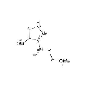 COCCN(C)c1n[nH]cc1C(C)(C)C